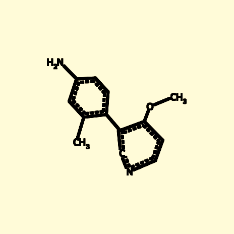 COc1ccncc1-c1ccc(N)cc1C